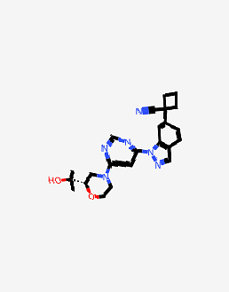 CC(C)(O)[C@@H]1CN(c2cc(-n3ncc4ccc(C5(C#N)CCC5)cc43)ncn2)CCO1